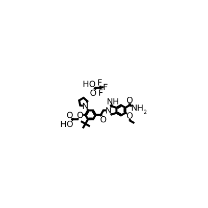 CCOc1cc2c(cc1C(N)=O)C(=N)N(CC(=O)c1cc(N3CCCC3)c(OCC(=O)O)c(C(C)(C)C)c1)C2.O=C(O)C(F)(F)F